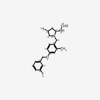 Cc1cc(OCc2cccc(F)c2)ccc1CN1C[C@@H](F)C[C@H]1NC=O